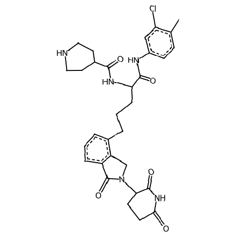 Cc1ccc(NC(=O)C(CCCc2cccc3c2CN(C2CCC(=O)NC2=O)C3=O)NC(=O)C2CCNCC2)cc1Cl